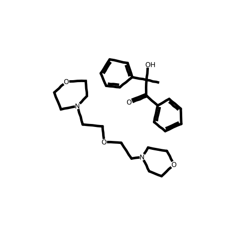 C1CN(CCOCCN2CCOCC2)CCO1.CC(O)(C(=O)c1ccccc1)c1ccccc1